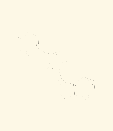 c1ccc(-c2nnc(N3OCc4ccccc43)s2)nc1